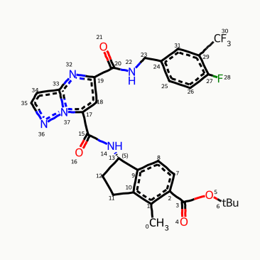 Cc1c(C(=O)OC(C)(C)C)ccc2c1CC[C@@H]2NC(=O)c1cc(C(=O)NCc2ccc(F)c(C(F)(F)F)c2)nc2ccnn12